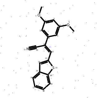 COc1cc(OC)cc(/C(C#N)=C/c2cc3ccccc3s2)c1